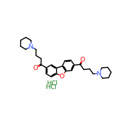 Cl.Cl.O=C(CCCN1CCCCC1)c1ccc2c(c1)oc1ccc(C(=O)CCCN3CCCCC3)cc12